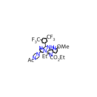 CCOC(=O)N1c2ccc(OC)nc2[C@@H](NC(c2cc(C(F)(F)F)cc(C(F)(F)F)c2)c2ncc(N3CCN(C(C)=O)CC3)cn2)C[C@H]1CC